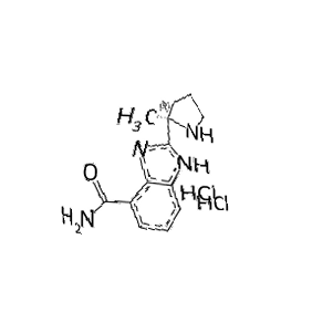 C[C@]1(c2nc3c(C(N)=O)cccc3[nH]2)CCCN1.Cl.Cl